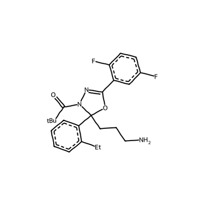 CCc1ccccc1C1(CCCN)OC(c2cc(F)ccc2F)=NN1C(=O)C(C)(C)C